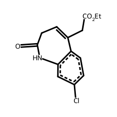 CCOC(=O)CC1=CCC(=O)Nc2cc(Cl)ccc21